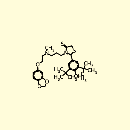 CN(CCCN1C(=S)CSC1c1cc(C(C)(C)C)c(O)c(C(C)(C)C)c1)CCOc1ccc2c(c1)OCO2